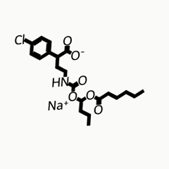 CCCCCC(=O)OC(CCC)OC(=O)NCCC(C(=O)[O-])c1ccc(Cl)cc1.[Na+]